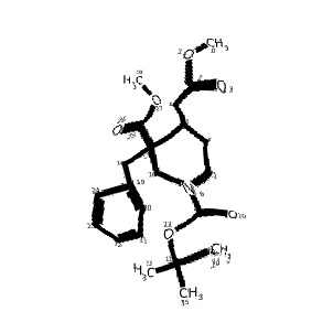 COC(=O)CC1CCN(C(=O)OC(C)(C)C)CC1(Cc1ccccc1)C(=O)OC